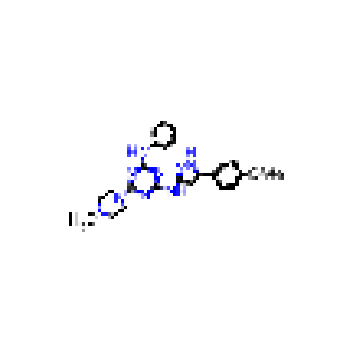 COc1ccc(-c2cc(Nc3nc(Nc4ccccc4)nc(N4CCN(C)CC4)n3)n[nH]2)cc1